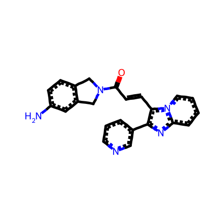 Nc1ccc2c(c1)CN(C(=O)/C=C/c1c(-c3cccnc3)nc3ccccn13)C2